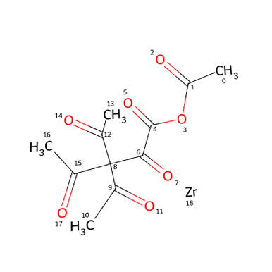 CC(=O)OC(=O)C(=O)C(C(C)=O)(C(C)=O)C(C)=O.[Zr]